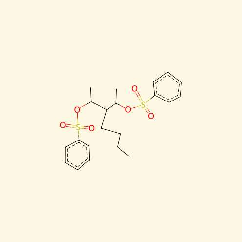 CCCCC(C(C)OS(=O)(=O)c1ccccc1)C(C)OS(=O)(=O)c1ccccc1